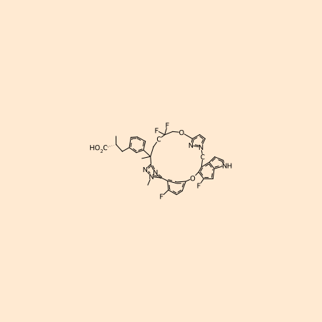 C[C@H](Cc1cccc(C2(C)CCC(F)(F)COc3ccn(n3)Cc3c(c(F)cc4[nH]ccc34)Oc3ccc(F)c(c3)-c3nc2nn3C)c1)C(=O)O